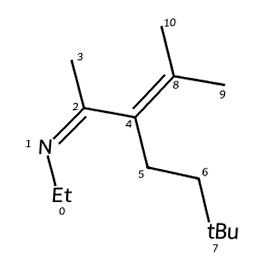 CC/N=C(/C)C(CCC(C)(C)C)=C(C)C